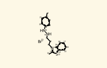 Cc1ccc(NNCCC[n+]2c(C)sc3ccccc32)cc1.[Br-]